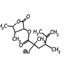 C=C(C)C(C)CC(C)(C(=O)OC1C(=O)OC(C)C1C)C(C)CC